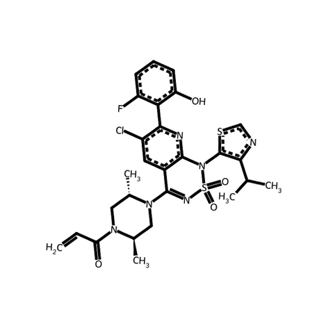 C=CC(=O)N1C[C@H](C)N(C2=NS(=O)(=O)N(c3scnc3C(C)C)c3nc(-c4c(O)cccc4F)c(Cl)cc32)C[C@H]1C